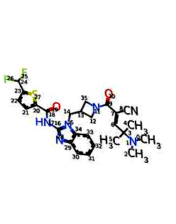 CN(C)C(C)(C)C=C(C#N)C(=O)N1CC(Cn2c(NC(=O)c3ccc(C(F)F)s3)nc3ccccc32)C1